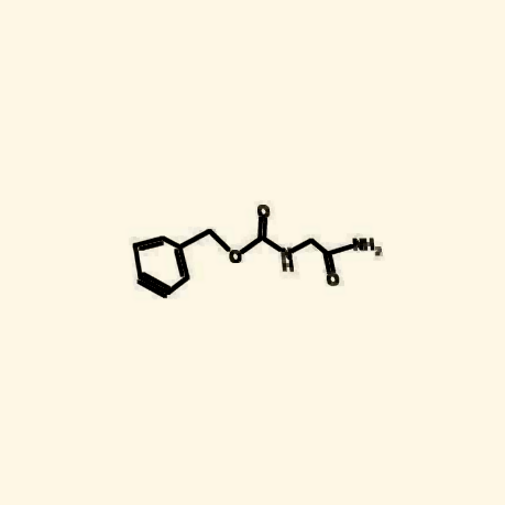 NC(=O)CNC(=O)OCc1cc#ccc1